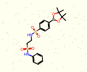 CC1(C)OB(c2ccc(S(=O)(=O)NCCS(=O)(=O)Nc3ccccc3)cc2)OC1(C)C